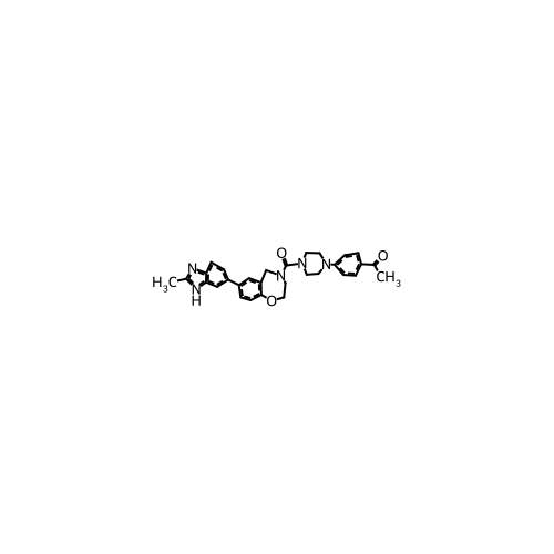 CC(=O)c1ccc(N2CCN(C(=O)N3CCOc4ccc(-c5ccc6nc(C)[nH]c6c5)cc4C3)CC2)cc1